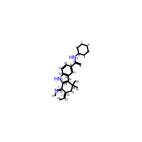 C=C(NC1CCCCC1)c1ccc2[nH]c3c(c2c1)C(C)(C)CC(=C/C)/C3=N\C